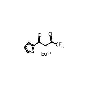 O=C(CC(=O)C(F)(F)F)c1cccs1.[Eu+3]